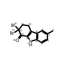 Cc1ccc2[nH]c3c(c2c1)CCC(Br)(Br)C3=O